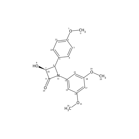 COc1ccc(C2[C@H](O)C(=O)N2c2cc(OC)cc(OC)c2)cc1